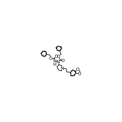 O=C(NN(C(=O)OCc1ccccc1)C1CCCN(CCc2ccc3c(c2)OCO3)C1)OCc1ccccc1